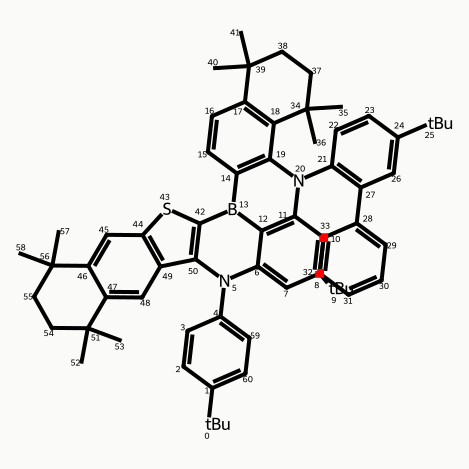 CC(C)(C)c1ccc(N2c3cc(C(C)(C)C)cc4c3B(c3ccc5c(c3N4c3ccc(C(C)(C)C)cc3-c3ccccc3)C(C)(C)CCC5(C)C)c3sc4cc5c(cc4c32)C(C)(C)CCC5(C)C)cc1